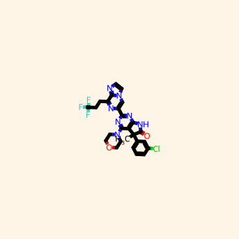 CC1(c2cccc(Cl)c2)C(=O)Nc2nc(-c3cn4ccnc4c(CCC(F)(F)F)n3)nc(N3CCOCC3)c21